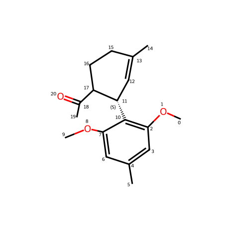 COc1cc(C)cc(OC)c1[C@H]1C=C(C)CCC1C(C)=O